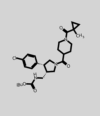 CC(C)COC(=O)NC[C@H]1CN(C(=O)C2CCN(C(=O)C3(C)CC3)CC2)C[C@H]1c1ccc(Cl)cc1